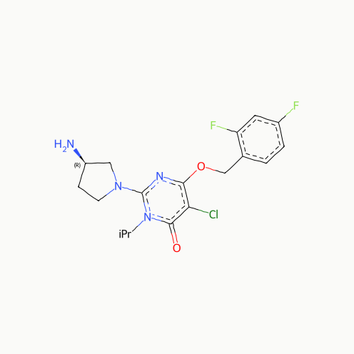 CC(C)n1c(N2CC[C@@H](N)C2)nc(OCc2ccc(F)cc2F)c(Cl)c1=O